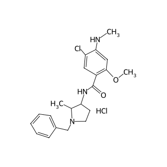 CNc1cc(OC)c(C(=O)NC2CCN(Cc3ccccc3)C2C)cc1Cl.Cl